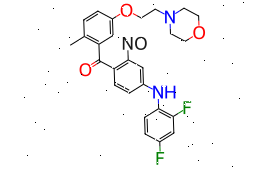 Cc1ccc(OCCN2CCOCC2)cc1C(=O)c1ccc(Nc2ccc(F)cc2F)cc1N=O